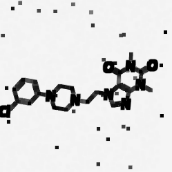 Cn1c(=O)c2c(ncn2CCN2CCN(c3cccc(Cl)c3)CC2)n(C)c1=O